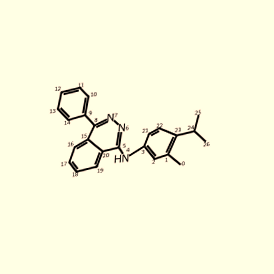 Cc1cc(Nc2nnc(-c3ccccc3)c3ccccc23)ccc1C(C)C